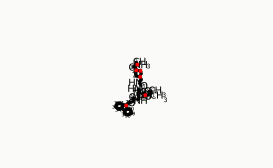 CNC(=O)C1CCC(CNC(=O)N/N=C/[C@H](CC(=O)OC(C)(C)C)NC(=O)OCC2c3ccccc3-c3ccccc32)CC1